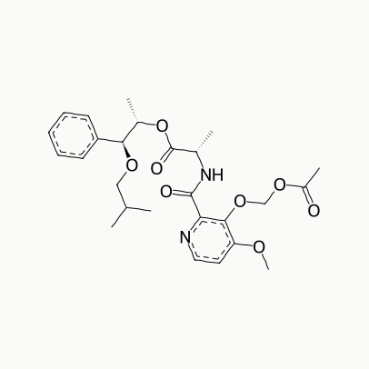 COc1ccnc(C(=O)N[C@@H](C)C(=O)O[C@@H](C)[C@@H](OCC(C)C)c2ccccc2)c1OCOC(C)=O